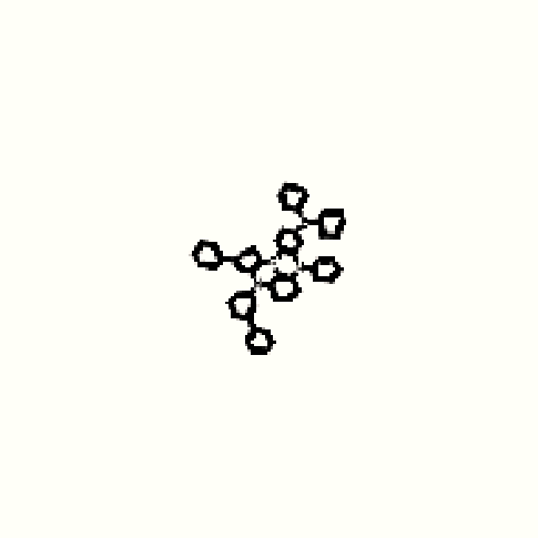 c1ccc(B(c2ccccc2)c2ccc3c(c2)N(c2ccccc2)c2cccc4c2B3c2ccc(-c3ccccc3)cc2N4c2cccc(-c3ccccc3)c2)cc1